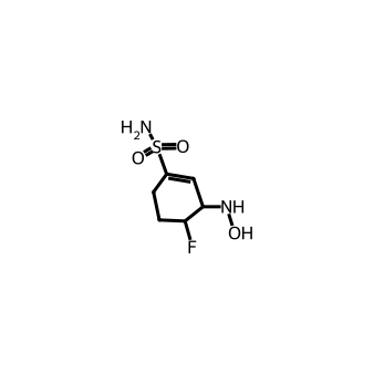 NS(=O)(=O)C1=CC(NO)C(F)CC1